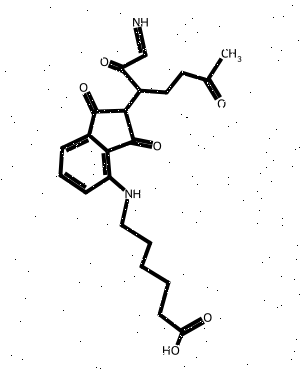 CC(=O)CCC(C(=O)C=N)C1C(=O)c2cccc(NCCCCCC(=O)O)c2C1=O